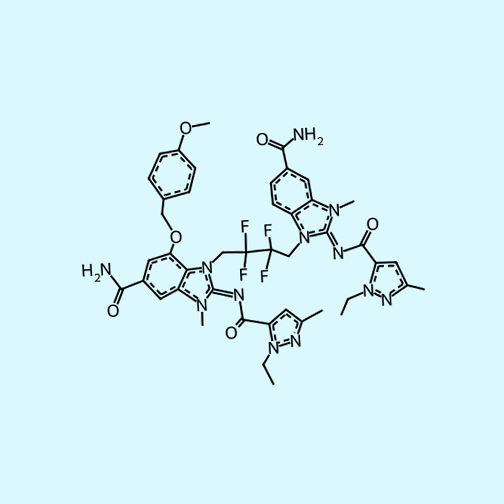 CCn1nc(C)cc1C(=O)/N=c1\n(C)c2cc(C(N)=O)ccc2n1CC(F)(F)C(F)(F)Cn1/c(=N/C(=O)c2cc(C)nn2CC)n(C)c2cc(C(N)=O)cc(OCc3ccc(OC)cc3)c21